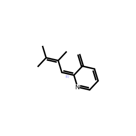 C=c1cccn/c1=C/C(C)=C(C)C